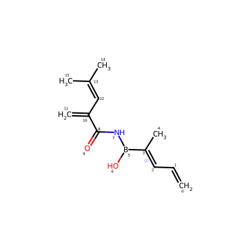 C=C/C=C(\C)B(O)NC(=O)C(=C)C=C(C)C